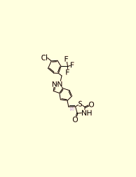 O=C1NC(=O)/C(=C/c2ccc3c(cnn3Cc3ccc(Cl)cc3C(F)(F)F)c2)S1